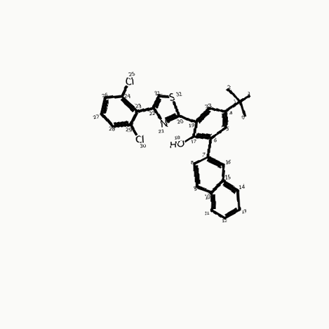 CC(C)(C)c1cc(-c2ccc3ccccc3c2)c(O)c(-c2nc(-c3c(Cl)cccc3Cl)cs2)c1